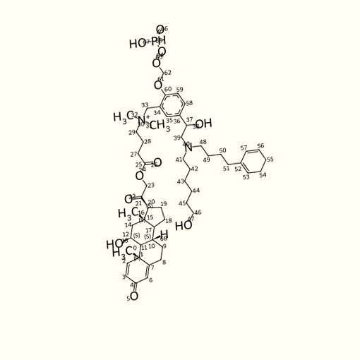 C[C@]12C=CC(=O)C=C1CC[C@@H]1C2[C@@H](O)C[C@@]2(C)C1CC[C@@H]2C(=O)COC(=O)CCC[N+](C)(C)Cc1cc(C(O)CN(CCCCCCO)CCCCC2=CCCC=C2)ccc1OCOO[PH](=O)O